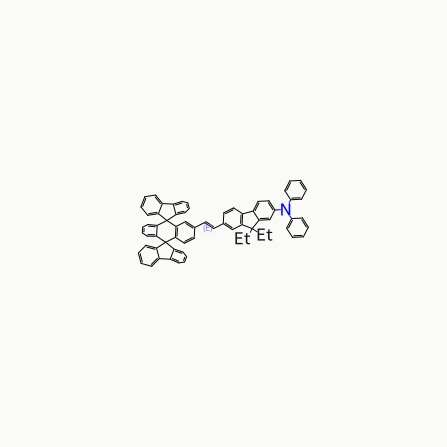 CCC1(CC)c2cc(/C=C/c3ccc4c(c3)C3(c5ccccc5-c5ccccc53)c3ccccc3C43c4ccccc4-c4ccccc43)ccc2-c2ccc(N(c3ccccc3)c3ccccc3)cc21